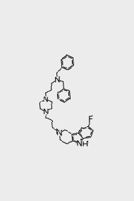 Fc1ccc2[nH]c3c(c2c1)CN(CCCN1CCN(CCCN(Cc2ccccc2)Cc2ccccc2)CC1)CC3